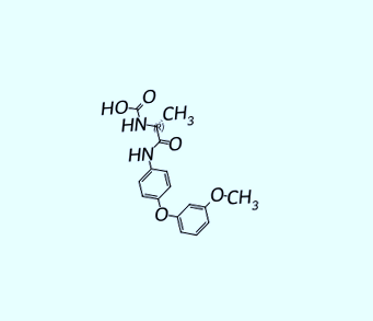 COc1cccc(Oc2ccc(NC(=O)[C@@H](C)NC(=O)O)cc2)c1